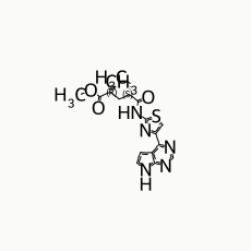 CC[C@@H](C[C@@H](C)C(=O)OC)C(=O)Nc1nc(-c2ncnc3[nH]ccc23)cs1